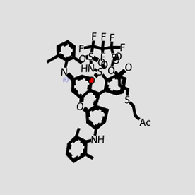 CC(=O)CCSCCC(=O)OS(=O)(=O)C(F)(F)C(F)(F)C(F)(F)S(=O)(=O)NS(=O)(=O)c1ccccc1-c1c2cc/c(=N\c3c(C)cccc3C)cc-2oc2cc(Nc3c(C)cccc3C)ccc12